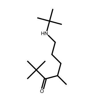 CC(CCCNC(C)(C)C)C(=O)C(C)(C)C